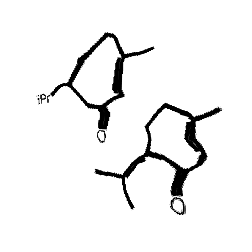 CC1=CC(=O)C(=C(C)C)CC1.CC1=CC(=O)C(C(C)C)CC1